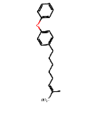 CC(=CCCCCCc1ccc(Oc2ccccc2)cc1)C(=O)O